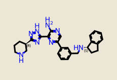 Nc1ncc(-c2cccc(CN[C@H]3CCc4ccccc43)c2)nc1-c1nc([C@@H]2CCCNC2)n[nH]1